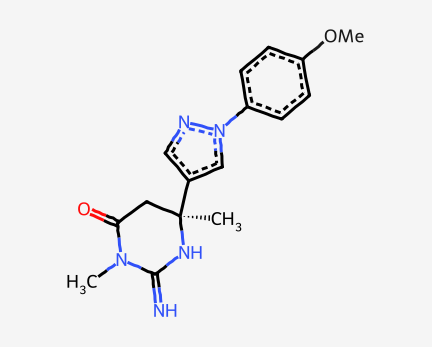 COc1ccc(-n2cc([C@]3(C)CC(=O)N(C)C(=N)N3)cn2)cc1